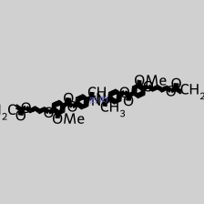 C=CC(=O)OCCCCOc1ccc(C(=O)Oc2ccc(/C(C)=N/N=C(\C)c3ccc(OC(=O)c4ccc(OCCCCOC(=O)C=C)c(OC)c4)cc3)cc2)cc1OC